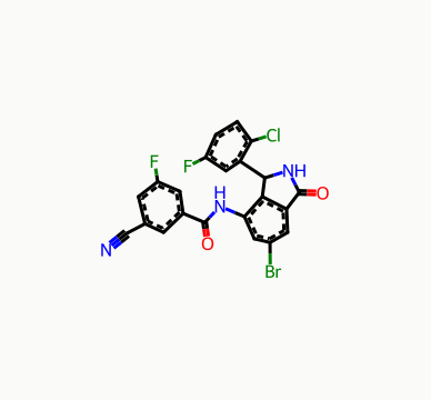 N#Cc1cc(F)cc(C(=O)Nc2cc(Br)cc3c2C(c2cc(F)ccc2Cl)NC3=O)c1